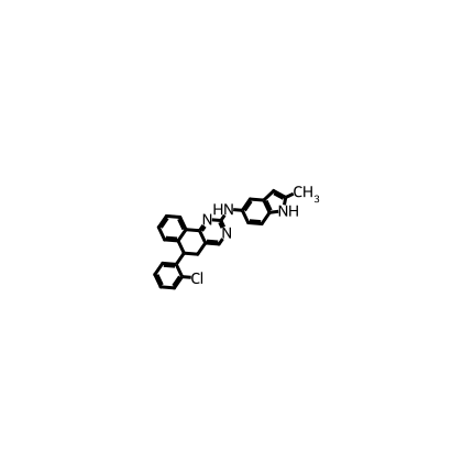 Cc1cc2cc(Nc3ncc4c(n3)-c3ccccc3C(c3ccccc3Cl)C4)ccc2[nH]1